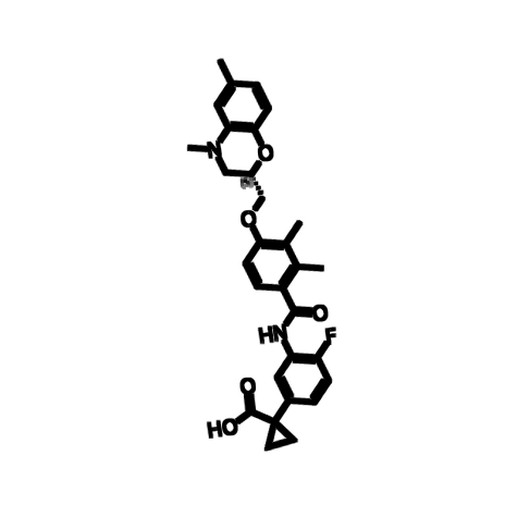 Cc1ccc2c(c1)N(C)C[C@@H](COc1ccc(C(=O)Nc3cc(C4(C(=O)O)CC4)ccc3F)c(C)c1C)O2